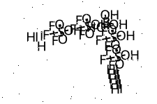 I.I.I.I.I.I.I.O=S(=O)(O)C(F)(F)F.O=S(=O)(O)C(F)(F)F.O=S(=O)(O)C(F)(F)F.O=S(=O)(O)C(F)(F)F.OB(O)O